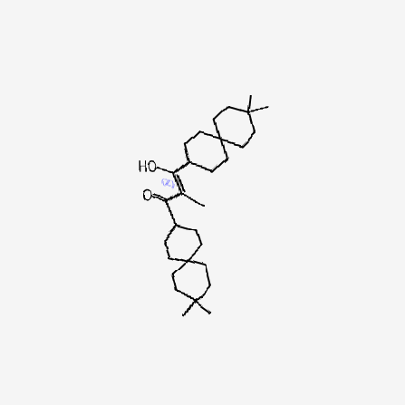 C/C(C(=O)C1CCC2(CC1)CCC(C)(C)CC2)=C(/O)C1CCC2(CC1)CCC(C)(C)CC2